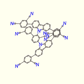 N#Cc1cccc(-c2ccc(-n3c4cc(-c5ccc(C#N)cc5C#N)ccc4c4ccc(-c5ccc(C#N)cc5C#N)cc43)c(C#N)c2-n2c3cc(-c4ccc(C#N)cc4C#N)ccc3c3ccc(-c4ccc(C#N)cc4C#N)cc32)c1